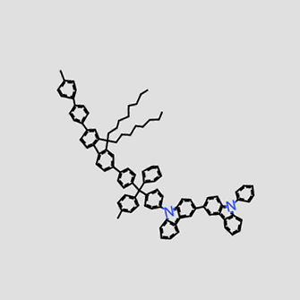 CCCCCCCCC1(CCCCCCCC)c2cc(-c3ccc(-c4ccc(C)cc4)cc3)ccc2-c2ccc(-c3ccc(C(c4ccccc4)(c4ccc(C)cc4)c4ccc(-n5c6ccccc6c6cc(-c7ccc8c(c7)c7ccccc7n8-c7ccccc7)ccc65)cc4)cc3)cc21